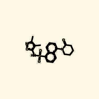 Cc1noc(NS(=O)(=O)c2cccc3c(N4CCCCC4=O)cccc23)c1C